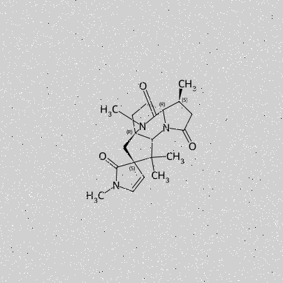 C[C@H]1CC(=O)N2C3C(C)(C)[C@@]4(C=CN(C)C4=O)C[C@]34CC[C@]12C(=O)N4C